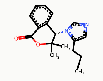 CCCc1cncn1[C@H]1c2ccccc2C(=O)OC1(C)C